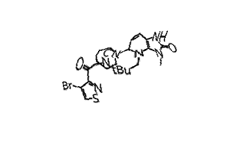 Cn1c2c([nH]c1=O)C=CC(N1CC3CCC1CN3C(=O)c1nscc1Br)N2CC(C)(C)C